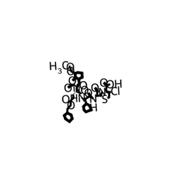 COOc1cccc2c(=O)n([C@@H](CCC(=O)OCc3ccccc3)C(=O)N[C@@H](C(=O)N[C@@H]3C(=O)N4C(C(=O)O)=C(Cl)CSC34)c3ccccc3)c(=O)oc12